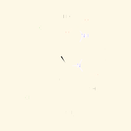 C=CC[C@@]1(C)C[C@H](c2cccc(Cl)c2)[C@@H](c2ccc(Cl)cc2)N(C(CNS(C)(=O)=O)C2CC2)C1=O